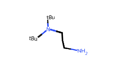 CC(C)(C)N(CCN)C(C)(C)C